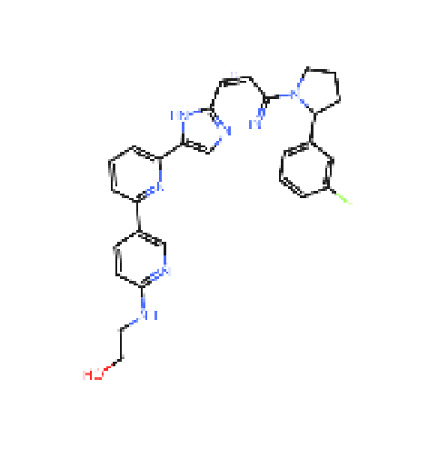 N=C(/C=C\c1ncc(-c2cccc(-c3ccc(NCCO)nc3)n2)[nH]1)N1CCCC1c1cccc(F)c1